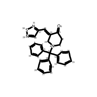 O=C1CCN(C(c2ccccc2)(c2ccccc2)c2ccccc2)C/C1=C\c1cnsn1